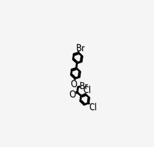 O=C(c1ccc(Cl)cc1Cl)C(Br)Oc1ccc(-c2ccc(Br)cc2)cc1